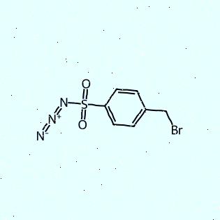 [N-]=[N+]=NS(=O)(=O)c1ccc(CBr)cc1